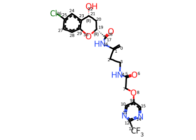 C=C(CCNC(=O)COc1cnc(C(F)(F)F)nc1)NC(=O)[C@H]1C[C@@H](O)c2cc(Cl)ccc2O1